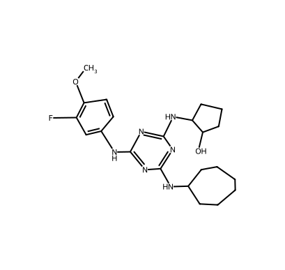 COc1ccc(Nc2nc(NC3CCCCCC3)nc(NC3CCCC3O)n2)cc1F